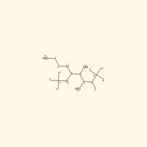 CC(C(O)C(O)C(OCCO)OC(C)(C)C)C(C)(C)C